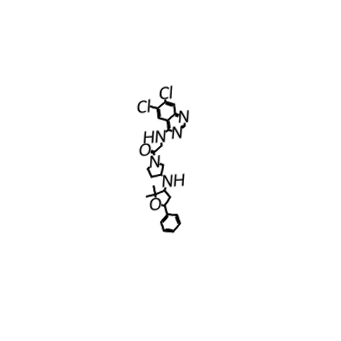 CC1(C)OC(c2ccccc2)CC1N[C@@H]1CCN(C(=O)CNc2ncnc3cc(Cl)c(Cl)cc23)C1